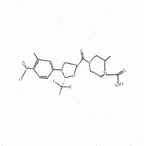 Cc1cc(N2C[C@@H](C(=O)N3CCN(C(=O)O)C(C)C3)O[C@@H]2C(F)(F)F)ccc1[N+](=O)[O-]